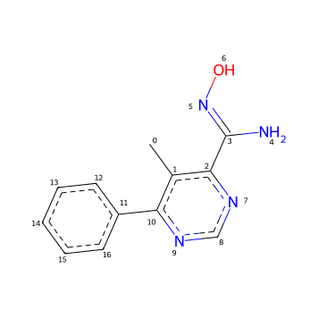 Cc1c(C(N)=NO)ncnc1-c1ccccc1